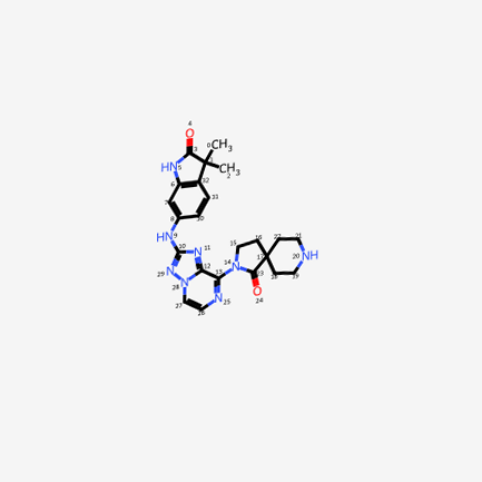 CC1(C)C(=O)Nc2cc(Nc3nc4c(N5CCC6(CCNCC6)C5=O)nccn4n3)ccc21